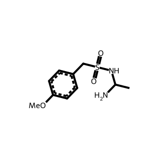 COc1ccc(CS(=O)(=O)NC(C)N)cc1